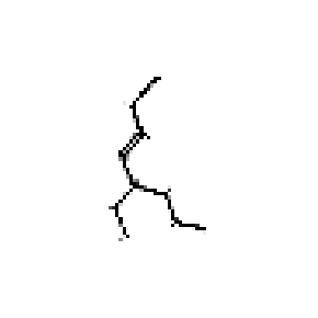 [CH2]C/C=C/C(CC)CCC